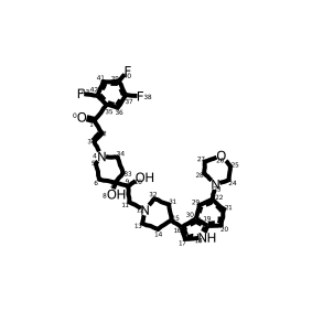 O=C(C=CN1CCC(O)(C(O)CN2CCC(c3c[nH]c4ccc(N5CCOCC5)cc34)CC2)CC1)c1cc(F)c(F)cc1F